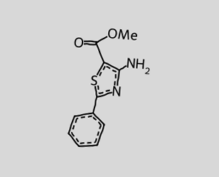 COC(=O)c1sc(-c2ccccc2)nc1N